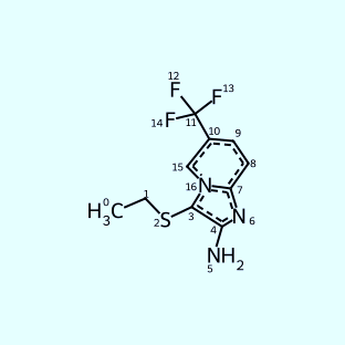 CCSc1c(N)nc2ccc(C(F)(F)F)cn12